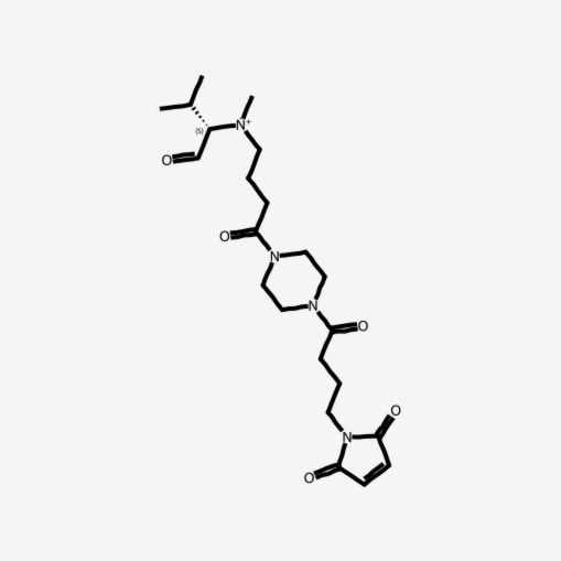 CC(C)[C@@H](C=O)[N+](C)CCCC(=O)N1CCN(C(=O)CCCN2C(=O)C=CC2=O)CC1